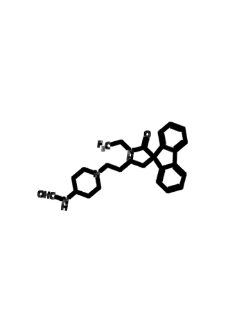 O=CNC1CCN(CCCCC2(C(=O)NCC(F)(F)F)c3ccccc3-c3ccccc32)CC1